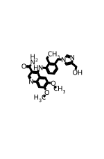 CCc1c(Cn2cnc(CO)c2)cccc1Nc1c(C(N)=O)cnc2cc(OC)c(OC)cc12